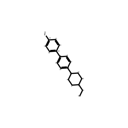 CCC1CCC(c2ccc(-c3ccc(F)cc3)cc2)CC1